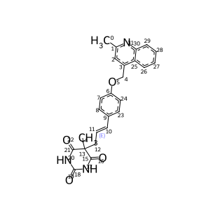 Cc1cc(COc2ccc(/C=C/CC3(C)C(=O)NC(=O)NC3=O)cc2)c2ccccc2n1